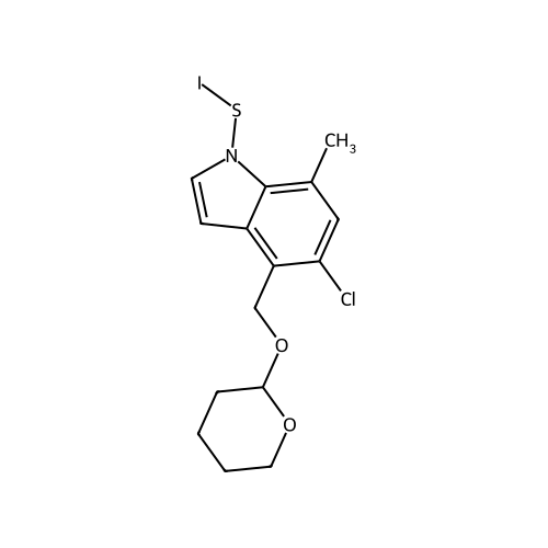 Cc1cc(Cl)c(COC2CCCCO2)c2ccn(SI)c12